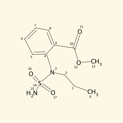 CCCN(c1ccccc1C(=O)OC)S(N)(=O)=O